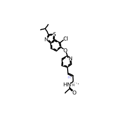 CC(=O)N[C@@H](C)/C=C/c1ccc(Oc2ccc3nc(C(C)C)sc3c2Cl)nc1